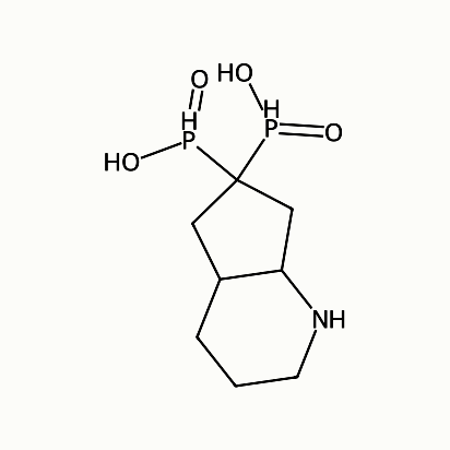 O=[PH](O)C1([PH](=O)O)CC2CCCNC2C1